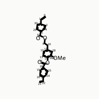 C=Cc1ccc(C(=O)OCCc2ccc(OC(=O)c3ccc(C=C)cc3)c(OC)c2)cc1